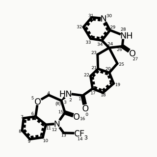 O=C(N[C@@H]1COc2ccccc2N(CC(F)(F)F)C1=O)c1ccc2c(c1)CC1(C2)C(=O)Nc2ncccc21